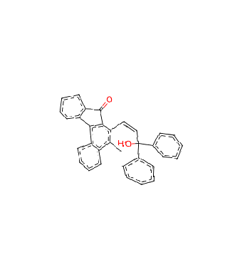 Cc1c(/C=C\C(O)(c2ccccc2)c2ccccc2)c2c(c3ccccc13)-c1ccccc1C2=O